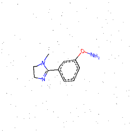 CN1CCN=C1c1cccc(ON)c1